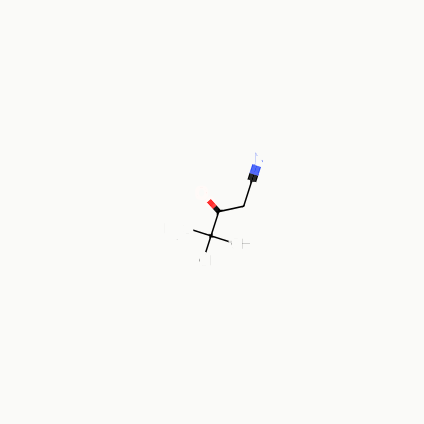 [CH2]C(C)(C)C(=O)CC#N